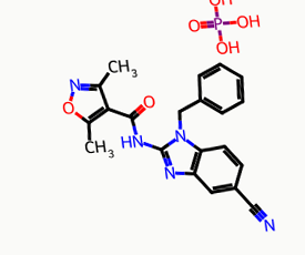 Cc1noc(C)c1C(=O)Nc1nc2cc(C#N)ccc2n1Cc1ccccc1.O=P(O)(O)O